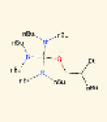 CCCCC(CC)C[O][Ti]([N](CCCC)CCCC)([N](CCCC)CCCC)[N](CCCC)CCCC